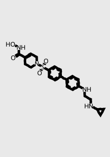 O=C(NO)C1=CCN(S(=O)(=O)c2ccc(-c3ccc(NCCNC4CC4)cc3)cc2)CC1